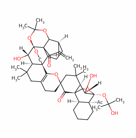 C=C1C(=O)C23C4OC(C)(C)O[C@]25OC[C@]2(C6=C(CC[C@]7(CC(C)(C)[C@H]8[C@H](O)[C@@]9(OC(C)(C)O)OC[C@]8(C7=O)[C@@H]7CCCC[C@@]79C(C)=O)O6)CC(C)(C)[C@H]2[C@@H]5O)[C@@H]3CC[C@@H]14